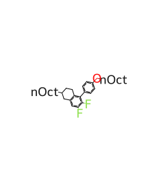 CCCCCCCCOc1ccc(-c2c(F)c(F)cc3c2CCC(CCCCCCCC)C3)cc1